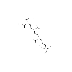 CO[Si](CO)(CCCN(CCN(CCN(C(C)C)C(C)C)C(C)C)C(C)C)OC